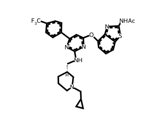 CC(=O)Nc1nc2c(Oc3cc(-c4ccc(C(F)(F)F)cc4)nc(NC[C@H]4CCCN(CC5CC5)C4)n3)cccc2s1